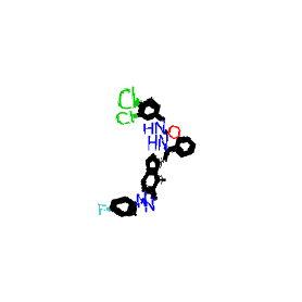 C[C@@H]1C2=C(CC[C@@H]2CC(NC(=O)NCc2ccc(Cl)c(Cl)c2)c2ccccc2)Cc2c1cnn2-c1ccc(F)cc1